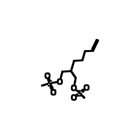 C=CCCCC(COS(C)(=O)=O)COS(C)(=O)=O